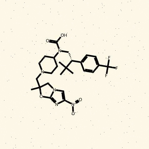 CC1(CN2CCC(N(C[C@H](c3ccc(C(F)(F)F)cc3)C(C)(C)C)C(=O)O)CC2)Cn2cc([N+](=O)[O-])nc2O1